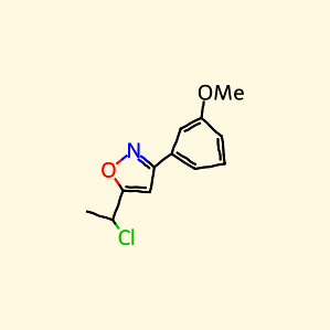 COc1cccc(-c2cc(C(C)Cl)on2)c1